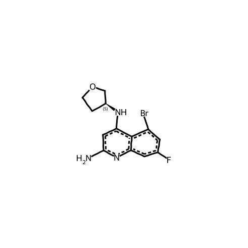 Nc1cc(N[C@H]2CCOC2)c2c(Br)cc(F)cc2n1